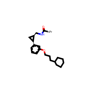 CCCC(=O)NC[C@@H]1C[C@H]1c1cccc(OCCCC2CCCCC2)c1